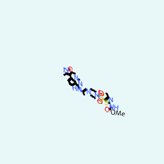 COC(=O)Nc1nc(C)c(S(=O)(=O)N2CCN(CC(C)Nc3ncnc4c(-c5c(C)noc5C)cccc34)CC2)s1